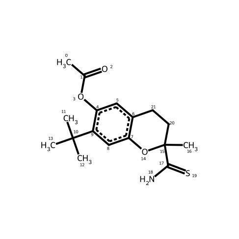 CC(=O)Oc1cc2c(cc1C(C)(C)C)OC(C)(C(N)=S)CC2